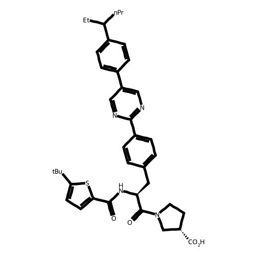 CCCC(CC)c1ccc(-c2cnc(-c3ccc(C[C@H](NC(=O)c4ccc(C(C)(C)C)s4)C(=O)N4CC[C@H](C(=O)O)C4)cc3)nc2)cc1